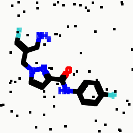 NC/C(=C\F)Cn1ccc(C(=O)Nc2ccc(F)cc2)n1